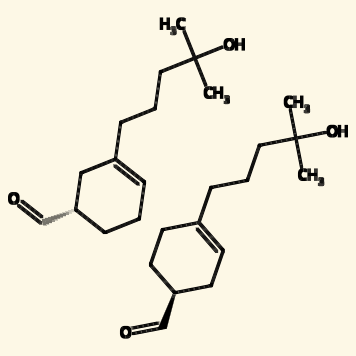 CC(C)(O)CCCC1=CCC[C@H](C=O)C1.CC(C)(O)CCCC1=CC[C@@H](C=O)CC1